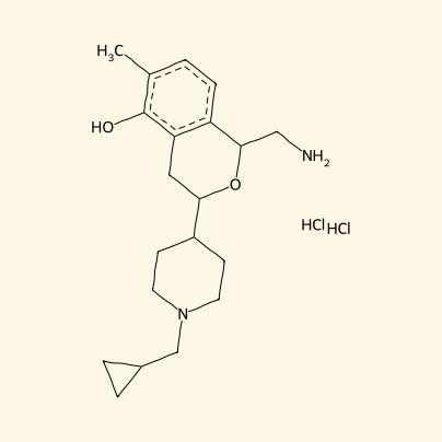 Cc1ccc2c(c1O)CC(C1CCN(CC3CC3)CC1)OC2CN.Cl.Cl